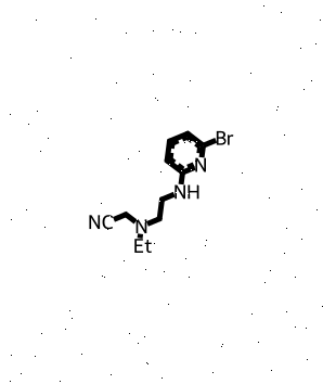 CCN(CC#N)CCNc1cccc(Br)n1